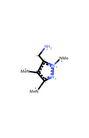 CNc1nn(NC)c(CN)c1NC